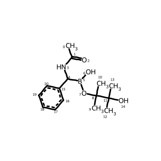 CC(=O)NC(B(O)OC(C)(C)C(C)(C)O)c1ccccc1